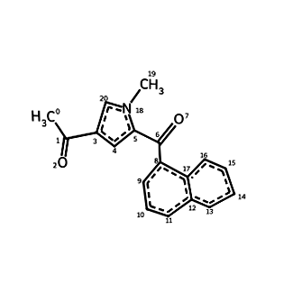 CC(=O)c1cc(C(=O)c2cccc3ccccc23)n(C)c1